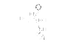 CN(C)CC(=O)NCCCCC(NCc1ccccc1)C(=O)O.Cl